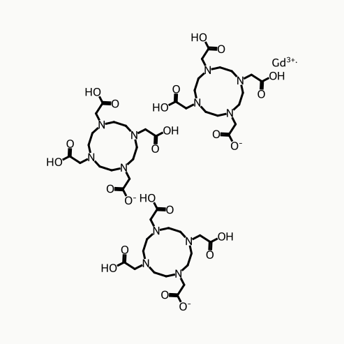 O=C([O-])CN1CCN(CC(=O)O)CCN(CC(=O)O)CCN(CC(=O)O)CC1.O=C([O-])CN1CCN(CC(=O)O)CCN(CC(=O)O)CCN(CC(=O)O)CC1.O=C([O-])CN1CCN(CC(=O)O)CCN(CC(=O)O)CCN(CC(=O)O)CC1.[Gd+3]